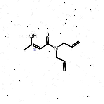 C=CCN(CC=C)C(=O)/C=C(/C)O